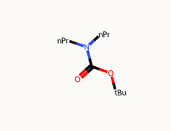 [CH2]CCN(CC[CH2])C(=O)OC(C)(C)C